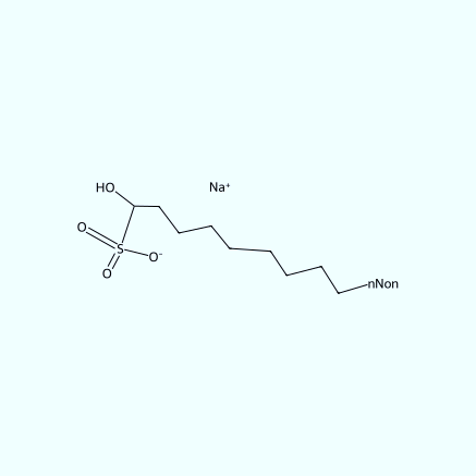 CCCCCCCCCCCCCCCCCC(O)S(=O)(=O)[O-].[Na+]